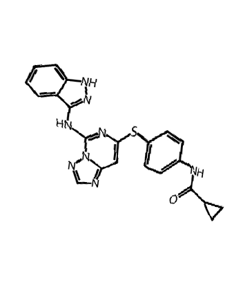 O=C(Nc1ccc(Sc2cc3ncnn3c(Nc3n[nH]c4ccccc34)n2)cc1)C1CC1